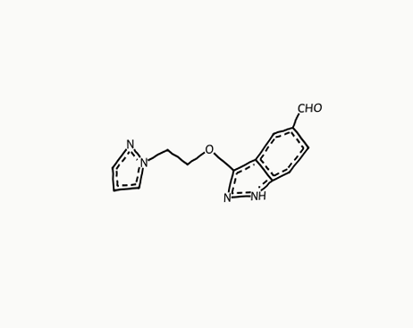 O=Cc1ccc2[nH]nc(OCCn3cccn3)c2c1